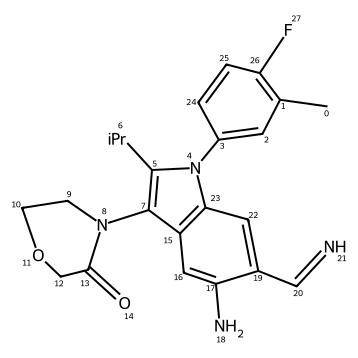 Cc1cc(-n2c(C(C)C)c(N3CCOCC3=O)c3cc(N)c(C=N)cc32)ccc1F